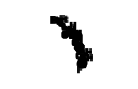 CCN(CC)CCCNC(=O)c1cc2c(Oc3ccc(NC(=O)Nc4ccc(F)cc4)cc3)ncnc2[nH]1